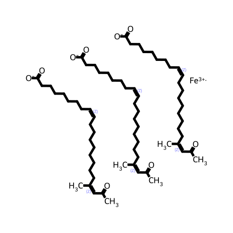 CC(=O)/C=C(/C)CCCCCCCC/C=C\CCCCCCCC(=O)[O-].CC(=O)/C=C(/C)CCCCCCCC/C=C\CCCCCCCC(=O)[O-].CC(=O)/C=C(/C)CCCCCCCC/C=C\CCCCCCCC(=O)[O-].[Fe+3]